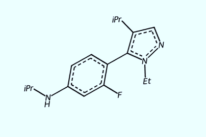 CCn1ncc(C(C)C)c1-c1ccc(NC(C)C)cc1F